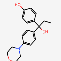 CCC(O)(c1ccc(O)cc1)c1ccc(N2CCOCC2)cc1